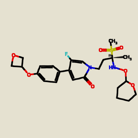 C[C@@](CCn1cc(F)c(-c2ccc(OC3COC3)cc2)cc1=O)(NOC1CCCCO1)S(C)(=O)=O